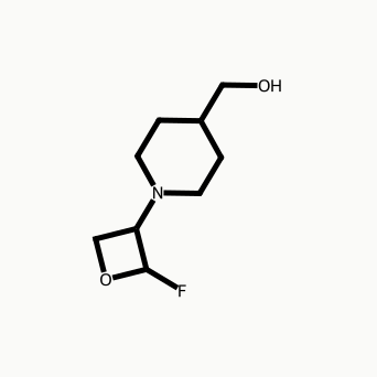 OCC1CCN(C2COC2F)CC1